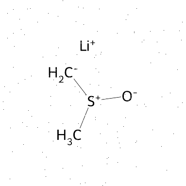 [CH2-][S+](C)[O-].[Li+]